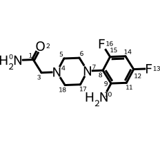 NC(=O)CN1CCN(c2c(N)cc(F)cc2F)CC1